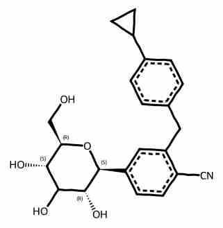 N#Cc1ccc([C@@H]2O[C@H](CO)[C@@H](O)C(O)[C@H]2O)cc1Cc1ccc(C2CC2)cc1